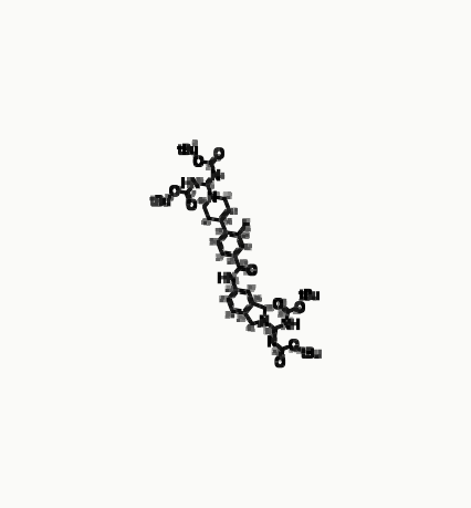 CC(C)(C)OC(=O)N=C(NC(=O)OC(C)(C)C)N1CC=C(c2ccc(C(=O)Nc3ccc4c(c3)CN(C(=NC(=O)OC(C)(C)C)NC(=O)OC(C)(C)C)C4)cc2F)CC1